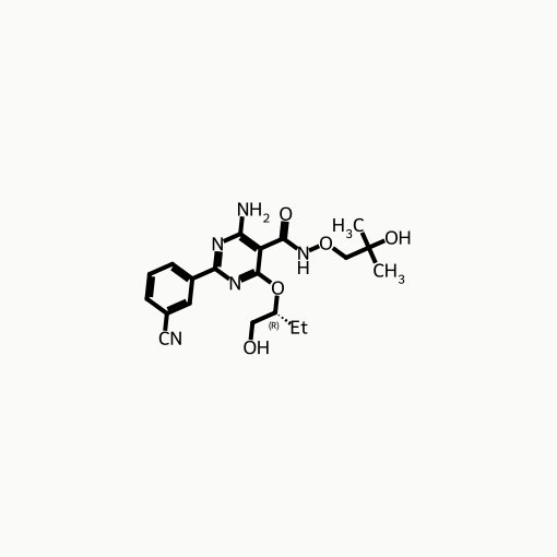 CC[C@H](CO)Oc1nc(-c2cccc(C#N)c2)nc(N)c1C(=O)NOCC(C)(C)O